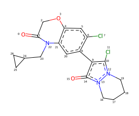 O=C1COc2cc(Cl)c(-c3c(Cl)n4n(c3=O)CCCC4)cc2N1CC1CC1